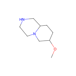 COC1CCC2CNCCN2C1